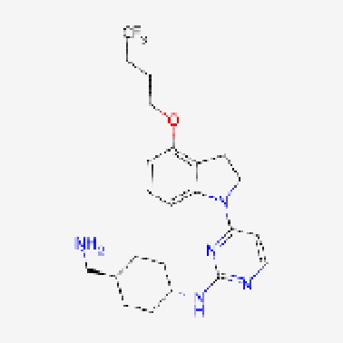 NC[C@H]1CC[C@H](Nc2nccc(N3CCc4c(OCCCC(F)(F)F)cccc43)n2)CC1